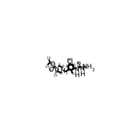 Cc1c(CN2CCN(C(=O)OC(C)C)[C@@H](C)C2)cc(Cl)cc1NC(=S)NN